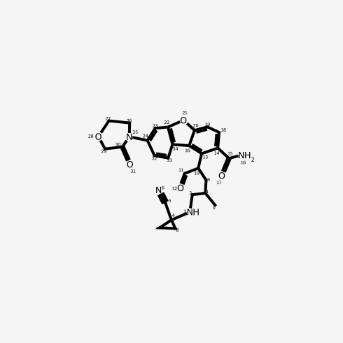 CC(CNC1(C#N)CC1)CC(C=O)c1c(C(N)=O)ccc2oc3cc(N4CCOCC4=O)ccc3c12